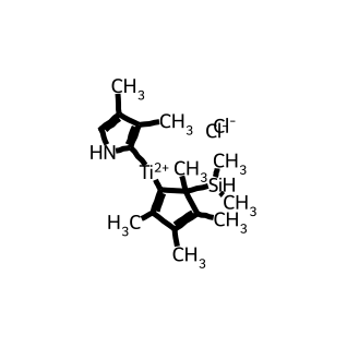 CC1=C(C)C(C)([SiH](C)C)[C]([Ti+2][c]2[nH]cc(C)c2C)=C1C.[Cl-].[Cl-]